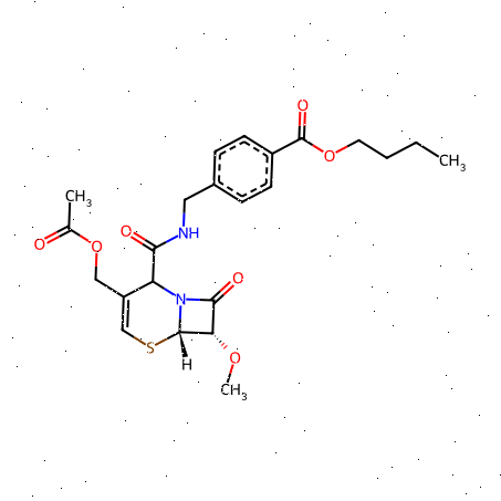 CCCCOC(=O)c1ccc(CNC(=O)C2C(COC(C)=O)=CS[C@H]3[C@@H](OC)C(=O)N23)cc1